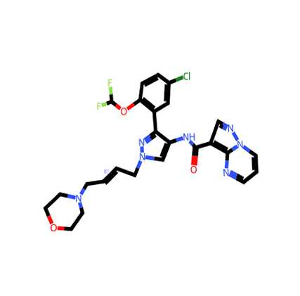 O=C(Nc1cn(C/C=C/CN2CCOCC2)nc1-c1cc(Cl)ccc1OC(F)F)c1cnn2cccnc12